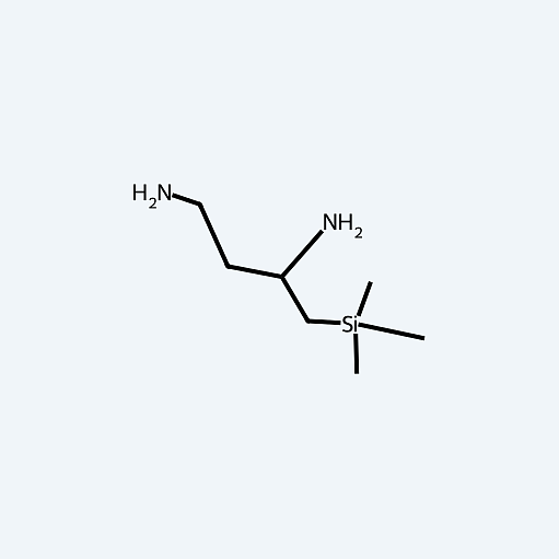 C[Si](C)(C)CC(N)CCN